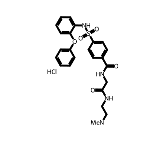 CNCCNC(=O)CNC(=O)c1ccc(S(=O)(=O)Nc2ccccc2Oc2ccccc2)cc1.Cl